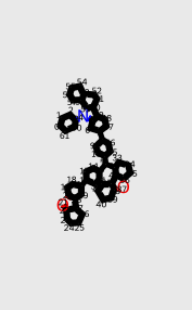 c1ccc(-n2c3cc(-c4ccc(C(c5ccc(-c6ccc7oc8ccccc8c7c6)cc5)c5cccc6oc7ccccc7c56)cc4)ccc3c3ccc4ccccc4c32)cc1